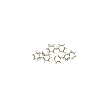 c1ccc(-c2nc3ccccn3c2-c2cccc(-c3cccc(-c4cccc5c4sc4ccccc45)c3)c2)cc1